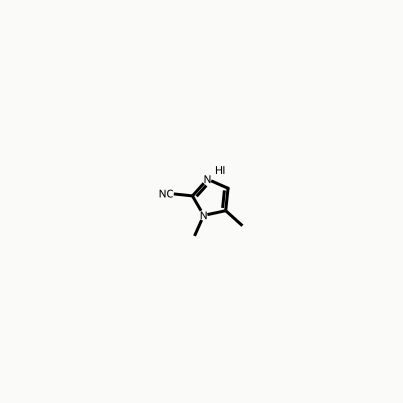 Cc1cnc(C#N)n1C.I